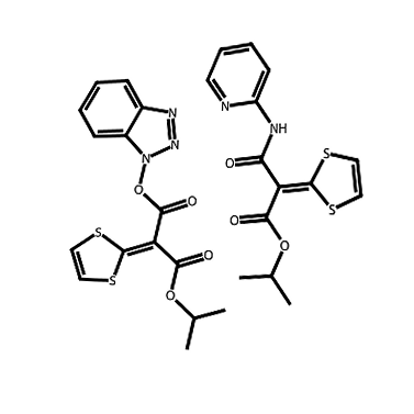 CC(C)OC(=O)C(C(=O)Nc1ccccn1)=C1SC=CS1.CC(C)OC(=O)C(C(=O)On1nnc2ccccc21)=C1SC=CS1